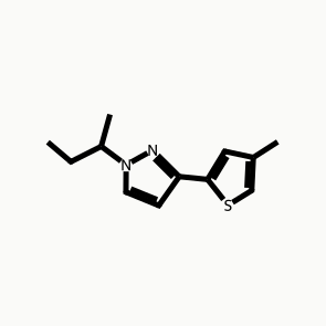 CCC(C)n1ccc(-c2cc(C)cs2)n1